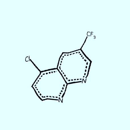 FC(F)(F)c1cnc2nccc(Cl)c2c1